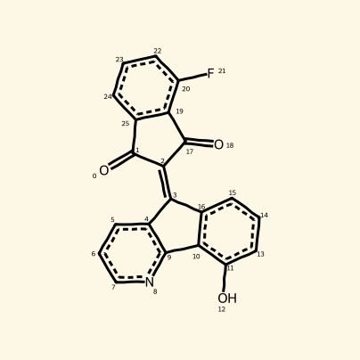 O=C1/C(=C2\c3cccnc3-c3c(O)cccc32)C(=O)c2c(F)cccc21